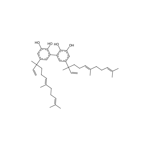 C=CC(C)(CC/C=C(\C)CCC=C(C)C)c1cc(O)c(O)c(-c2cc(C(C)(C=C)CC/C=C(\C)CCC=C(C)C)cc(O)c2O)c1